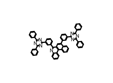 c1ccc(-c2nc(-c3ccccc3)nc(-c3cccc(-c4cc5c(-c6cccc(-c7nc(-c8ccccc8)nc(-c8ccccc8)n7)c6)nc6ccccc6c5c5ccccc45)c3)n2)cc1